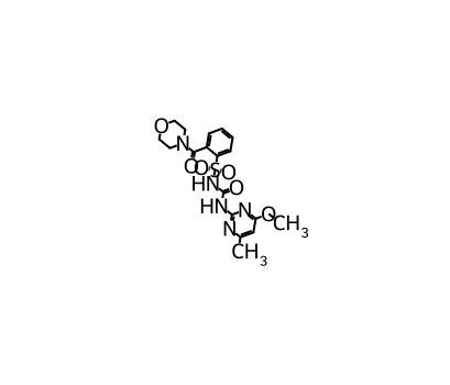 COc1cc(C)nc(NC(=O)NS(=O)(=O)c2ccccc2C(=O)N2CCOCC2)n1